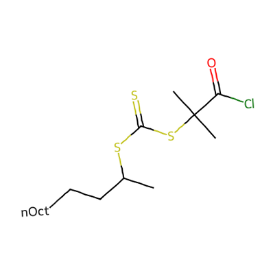 CCCCCCCCCCC(C)SC(=S)SC(C)(C)C(=O)Cl